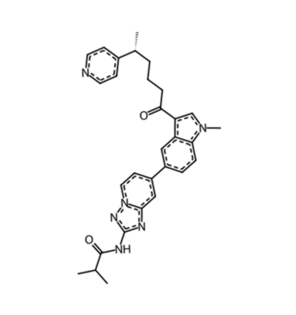 CC(C)C(=O)Nc1nc2cc(-c3ccc4c(c3)c(C(=O)CCC[C@@H](C)c3ccncc3)cn4C)ccn2n1